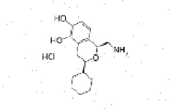 Cl.NC[C@H]1O[C@@H](C2CCCCC2)Cc2c1ccc(O)c2O